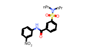 CCCN(CCC)S(=O)(=O)c1cccc(C(=O)Nc2cccc([N+](=O)[O-])c2)c1